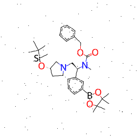 CN(C(=O)OCc1ccccc1)[C@H](CN1CC[C@H](O[Si](C)(C)C(C)(C)C)C1)c1cccc(B2OC(C)(C)C(C)(C)O2)c1